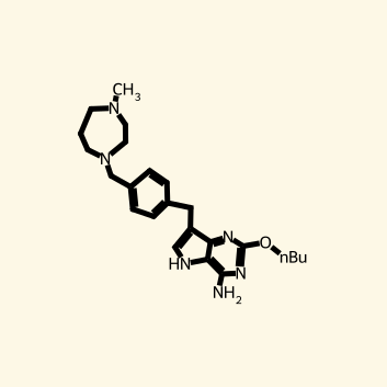 CCCCOc1nc(N)c2[nH]cc(Cc3ccc(CN4CCCN(C)CC4)cc3)c2n1